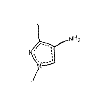 [CH2]n1cc(N)c(C)n1